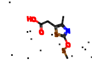 CSOc1nc(C)c(CC(=O)O)s1